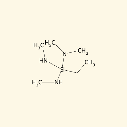 CC[Si](NC)(NC)N(C)C